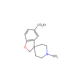 CCOC(=O)c1ccc2c(c1)C1(CCN(C)CC1)CO2